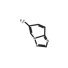 FC(F)(F)c1ccc2ncnn2c1